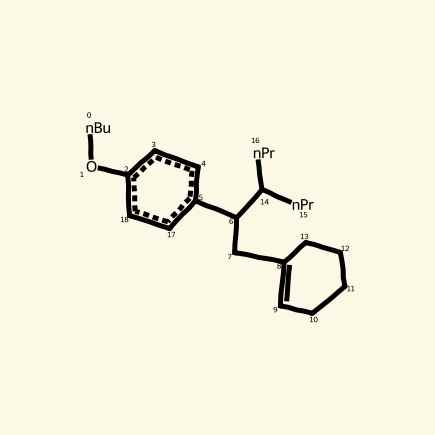 CCCCOc1ccc(C(CC2=CCCCC2)C(CCC)CCC)cc1